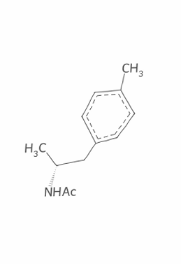 CC(=O)N[C@H](C)Cc1ccc(C)cc1